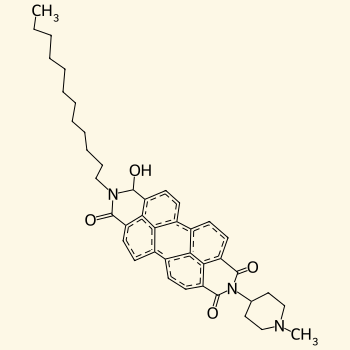 CCCCCCCCCCCCN1C(=O)c2ccc3c4ccc5c6c(ccc(c7ccc(c2c37)C1O)c64)C(=O)N(C1CCN(C)CC1)C5=O